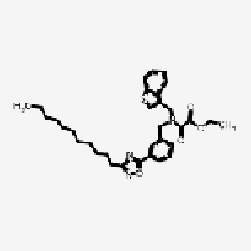 CCCCCCCCCCCc1noc(-c2cccc(CN(Cc3csc4ccccc34)C(=O)C(=O)OCC)c2)n1